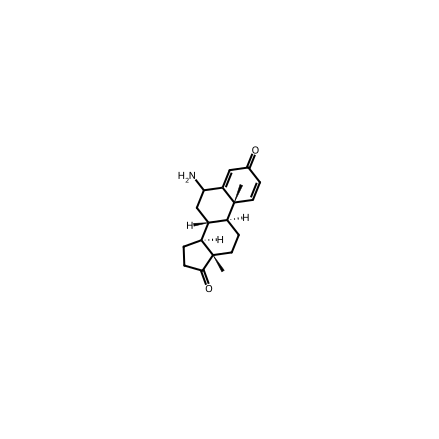 C[C@]12C=CC(=O)C=C1C(N)C[C@@H]1[C@@H]2CC[C@]2(C)C(=O)CC[C@@H]12